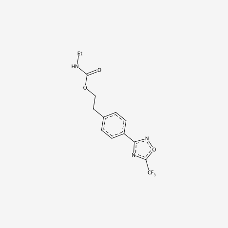 CCNC(=O)OCCc1ccc(-c2noc(C(F)(F)F)n2)cc1